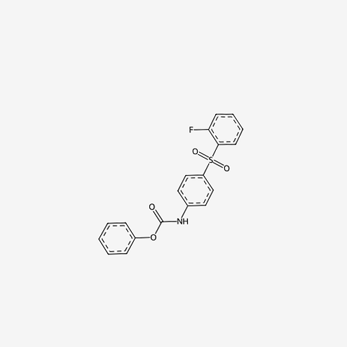 O=C(Nc1ccc(S(=O)(=O)c2ccccc2F)cc1)Oc1ccccc1